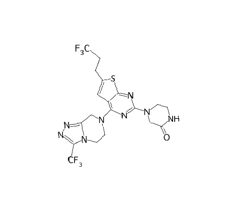 O=C1CN(c2nc(N3CCn4c(nnc4C(F)(F)F)C3)c3cc(CCC(F)(F)F)sc3n2)CCN1